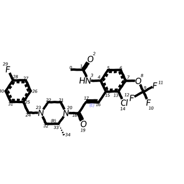 CC(=O)Nc1ccc(OC(F)(F)F)c(Cl)c1/C=C/C(=O)N1CCN(Cc2ccc(F)cc2)C[C@H]1C